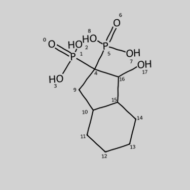 O=P(O)(O)C1(P(=O)(O)O)CC2CCCCC2C1O